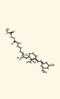 CCSC(=S)SCC(=O)NCCCC[C@@H](C)[C@H]1CC[C@H]2/C(=C/C=C3C[C@@H](O)C[C@H](O)C3)CCC[C@]12C